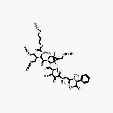 CCCC(C(=O)C(=O)N(N)CC(=O)N(N)[C@H](C(N)=O)c1ccccc1)N(N)C(=O)[C@@H]1[C@H]2C(CN=[N+]=[N-])[C@H]2CN1C(=O)[C@H](C(CN=[N+]=[N-])CN=[N+]=[N-])N(N)C(=O)OCCCN=[N+]=[N-]